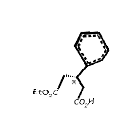 CCOC(=O)C[C@@H](CC(=O)O)c1ccccc1